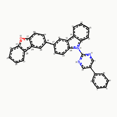 c1ccc(-c2cnc(-n3c4ccccc4c4cc(-c5ccc6oc7ccccc7c6c5)ccc43)nc2)cc1